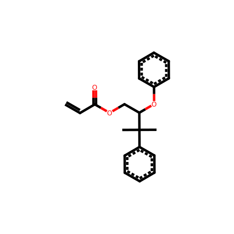 C=CC(=O)OCC(Oc1ccccc1)C(C)(C)c1ccccc1